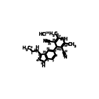 CCNc1n[nH]c2ccc(C3C(C#N)=C(C)NC(C)=C3C#N)cc12.Cl